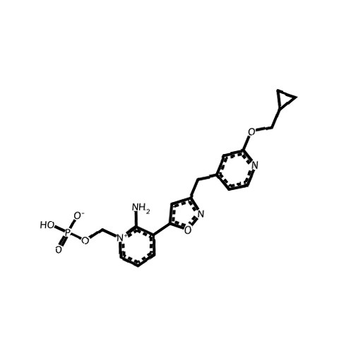 Nc1c(-c2cc(Cc3ccnc(OCC4CC4)c3)no2)ccc[n+]1COP(=O)([O-])O